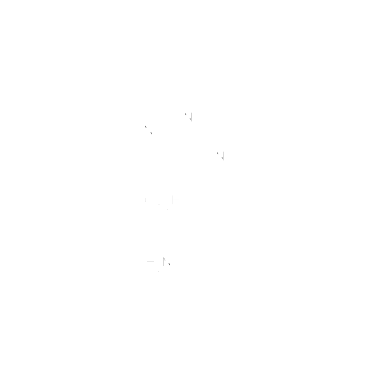 CCc1nc(-c2cc(N)ccc2F)c2c(C(=O)O)c[nH]c2n1